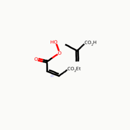 C=C(C)C(=O)O.CCOC(=O)/C=C\C(=O)OO